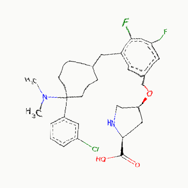 CN(C)C1(c2cccc(Cl)c2)CCC(Cc2cc(O[C@@H]3CN[C@H](C(=O)O)C3)cc(F)c2F)CC1